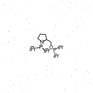 CC(C)P(OCC1CCCN1P(C(C)C)C(C)C)C(C)C